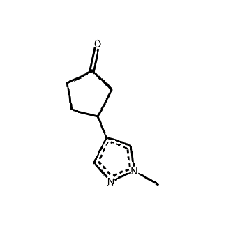 Cn1cc(C2CCC(=O)C2)cn1